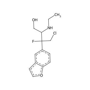 CCNC(CO)C(F)(CCl)c1ccc2occc2c1